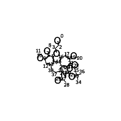 COCCOc1c(OC)c(OC)cc2c1-c1ccc(OC)c(=O)cc1C(N(C(C)=O)C(=O)OC(C)(C)C)CC2